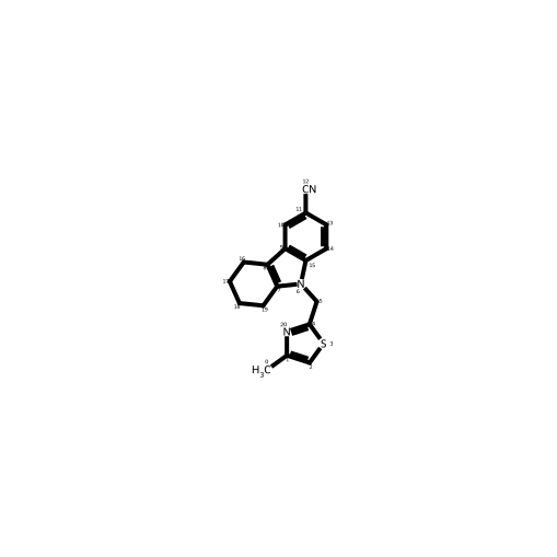 Cc1csc(Cn2c3c(c4cc(C#N)ccc42)CCCC3)n1